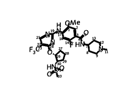 COc1cc(C(=O)NC2CCN(C)CC2)c(F)cc1Nc1ncc(C(F)(F)F)c(O[C@@H]2CCC[C@H]2NS(C)(=O)=O)n1